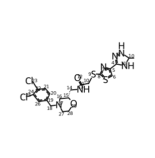 CC1NN=C(c2csc(SCC(=O)NC[C@H]3CN(Cc4ccc(Cl)c(Cl)c4)CCO3)n2)N1